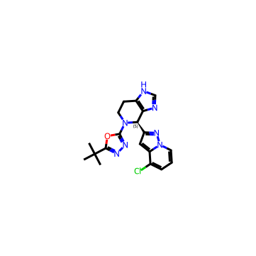 CC(C)(C)c1nnc(N2CCc3[nH]cnc3[C@H]2c2cc3c(Cl)cccn3n2)o1